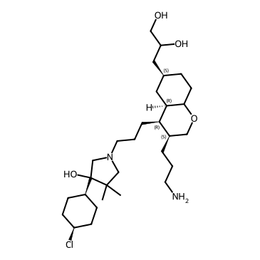 CC1(C)CN(CCC[C@@H]2[C@H](CCCN)COC3CC[C@H](CC(O)CO)C[C@@H]32)CC1(O)[C@H]1CC[C@@H](Cl)CC1